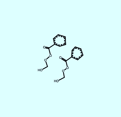 O=C(OOCO)c1ccccc1.O=C(OOCO)c1ccccc1